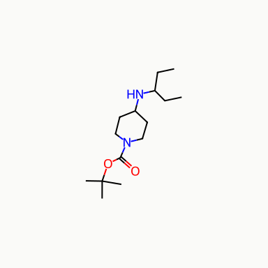 CCC(CC)NC1CCN(C(=O)OC(C)(C)C)CC1